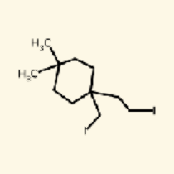 CC1(C)CCC(CI)(CCI)CC1